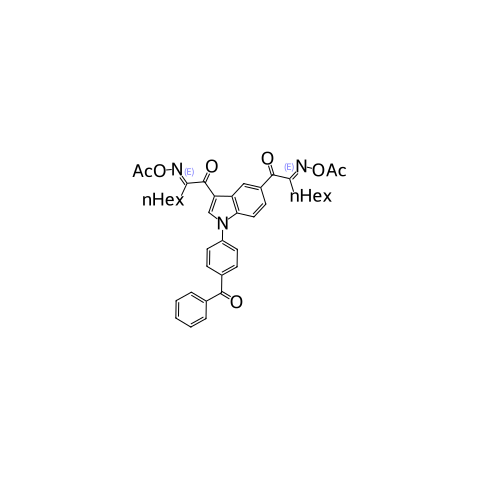 CCCCCC/C(=N\OC(C)=O)C(=O)c1ccc2c(c1)c(C(=O)/C(CCCCCC)=N/OC(C)=O)cn2-c1ccc(C(=O)c2ccccc2)cc1